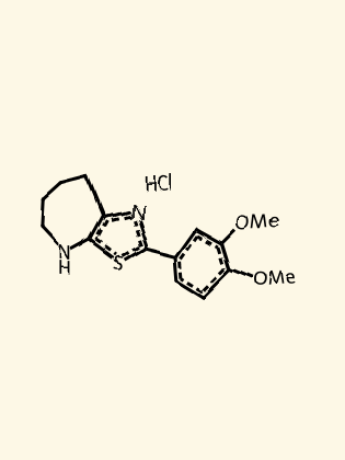 COc1ccc(-c2nc3c(s2)NCCCC3)cc1OC.Cl